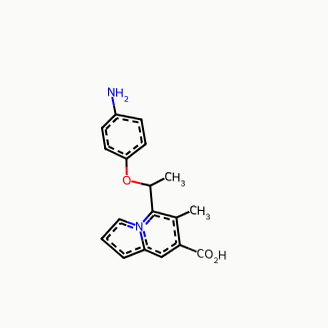 Cc1c(C(=O)O)cc2cccn2c1C(C)Oc1ccc(N)cc1